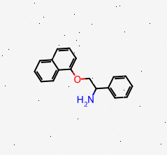 NC(COc1cccc2ccccc12)c1ccccc1